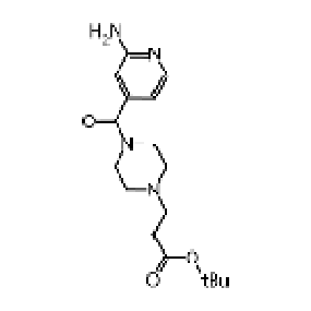 CC(C)(C)OC(=O)CCN1CCN(C(=O)c2ccnc(N)c2)CC1